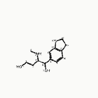 CNC(CCO)C(O)c1ccc2c(c1)SCC2